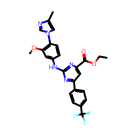 CCOC(=O)c1cc(-c2ccc(C(F)(F)F)cc2)nc(Nc2ccc(-n3cnc(C)c3)c(OC)c2)n1